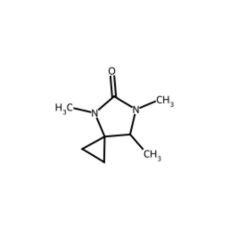 CC1N(C)C(=O)N(C)C12CC2